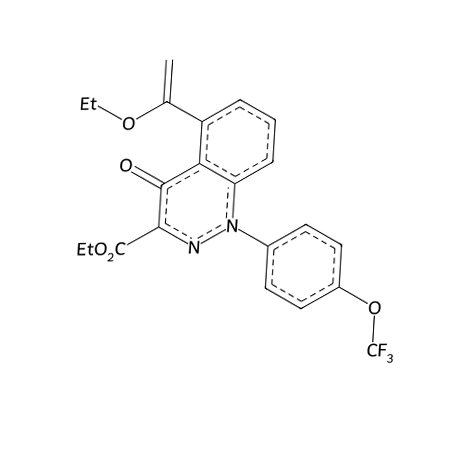 C=C(OCC)c1cccc2c1c(=O)c(C(=O)OCC)nn2-c1ccc(OC(F)(F)F)cc1